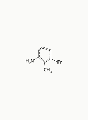 Cc1c(N)cccc1C(C)C